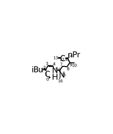 C=C=C(/C=C\N/C(CCC(C)C(=C=C)CCC)=N\C)C(C)CC